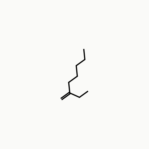 C=C(CC)CCCCC